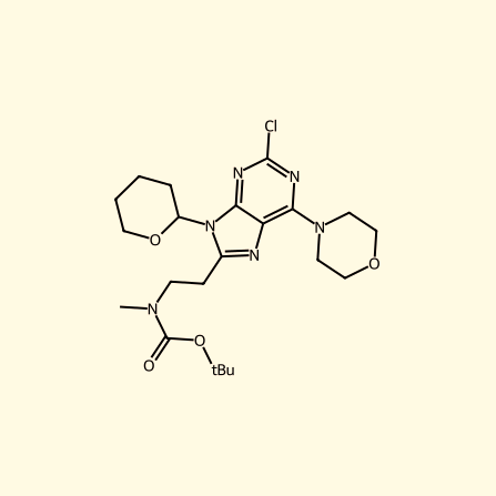 CN(CCc1nc2c(N3CCOCC3)nc(Cl)nc2n1C1CCCCO1)C(=O)OC(C)(C)C